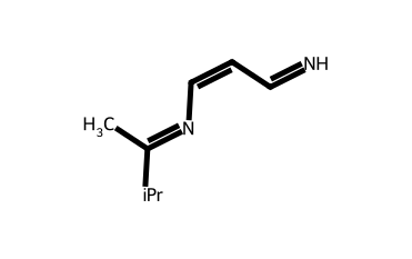 C/C(=N\C=C/C=N)C(C)C